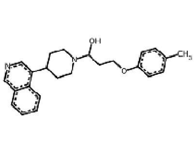 Cc1ccc(OCCC(O)N2CCC(c3cncc4ccccc34)CC2)cc1